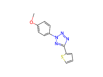 COc1ccc(-n2nnc(-c3cccs3)n2)cc1